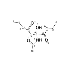 CCOC(=O)CC(O)(NC(C)=O)C(=O)OCC